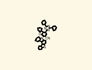 N#Cc1cc(-c2nc(-c3ccccc3)nc(-c3ccccc3)n2)c2c(oc3ccccc32)c1-n1c2ccccc2c2c3c(ccc21)sc1ccccc13